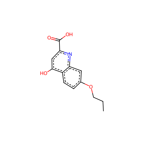 CCCOc1ccc2c(O)cc(C(=O)O)nc2c1